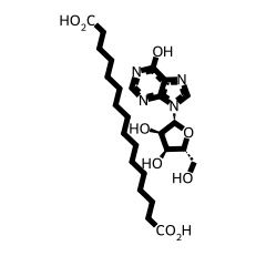 O=C(O)CCCCCCCCCCCCCCC(=O)O.OC[C@H]1O[C@@H](n2cnc3c(O)ncnc32)[C@H](O)[C@@H]1O